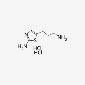 Cl.Cl.NCCCc1cnc(N)s1